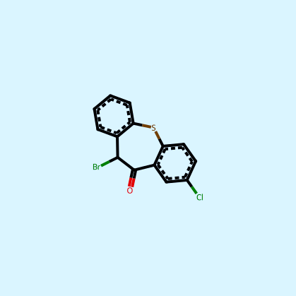 O=C1c2cc(Cl)ccc2Sc2ccccc2C1Br